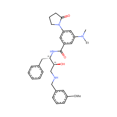 CCN(C)c1cc(C(=O)N[C@@H](Cc2ccccc2)[C@@H](O)CNCc2cccc(OC)c2)cc(N2CCCC2=O)c1